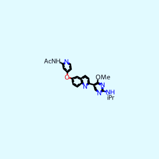 COc1nc(NC(C)C)ncc1-c1ccc2cc(Oc3ccnc(NC(C)=O)c3)ccc2n1